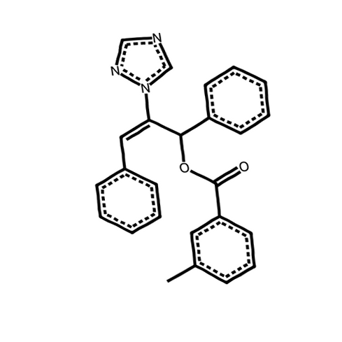 Cc1cccc(C(=O)OC(/C(=C\c2ccccc2)n2cncn2)c2ccccc2)c1